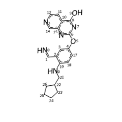 N=Cc1cc(Oc2nc(O)c3ccncc3n2)ccc1NCC1CCCC1